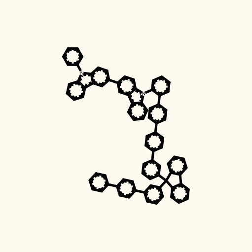 c1ccc(-c2ccc(-c3cccc(C4(c5cccc(-c6ccc(-c7ccc(-c8ccccc8-n8c9ccccc9c9cc(-c%10ccc%11c(c%10)c%10ccccc%10n%11-c%10ccccc%10)ccc98)cc7)cc6)c5)c5ccccc5-c5ccccc54)c3)cc2)cc1